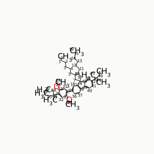 CCCCCCCCC1(CCCCCCCC)c2cc(-c3cc(OC)c(C(C)(CC)CC)cc3OC)ccc2-c2ccc(C(C)(C)CC)cc21